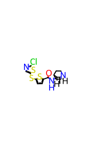 C[C@H]1[C@H](NC(=O)c2ccc(Sc3cnc(Cl)s3)s2)C2CCN1CC2